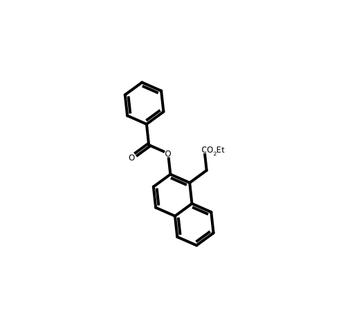 CCOC(=O)Cc1c(OC(=O)c2ccccc2)ccc2ccccc12